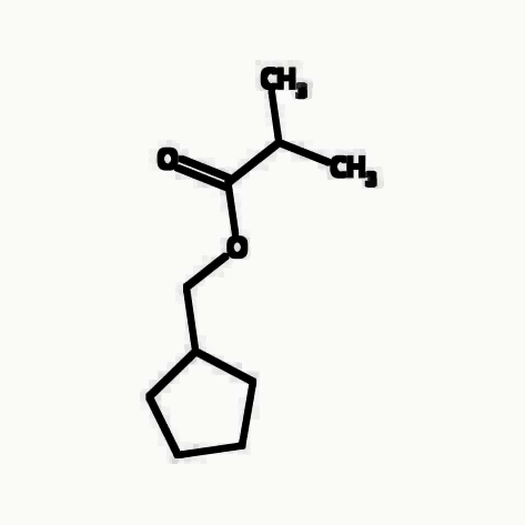 CC(C)C(=O)OCC1CCCC1